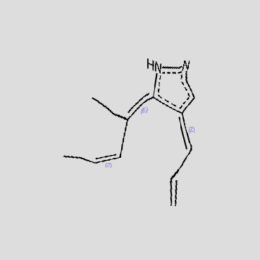 C=C/C=c1/cn[nH]/c1=C(C)/C=C\C